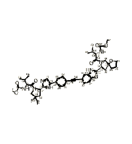 COC(=O)N[C@H](C(=O)N1CC(F)(F)C[C@H]1c1ncc(-c2ccc(C#Cc3ccc4nc([C@@H]5C[C@@]6(CCCO6)CN5C(=O)[C@@H](NC(=O)OC)C(C)C)[nH]c4c3)cc2)[nH]1)C(C)C